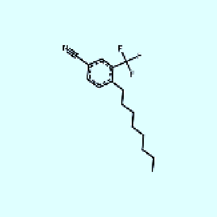 CCCCCCCCc1ccc(C#N)cc1C(F)(F)F